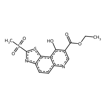 CCOC(=O)c1cnc2ccc3nc(S(C)(=O)=O)sc3c2c1O